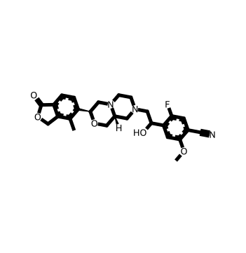 COc1cc(C(O)CN2CCN3C[C@H](c4ccc5c(c4C)COC5=O)OC[C@H]3C2)c(F)cc1C#N